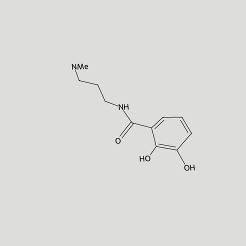 CNCCCNC(=O)c1cccc(O)c1O